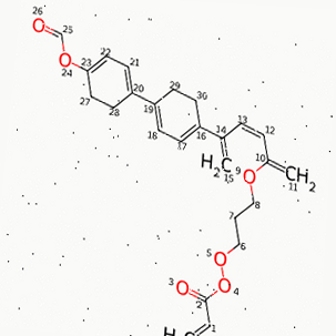 C=CC(=O)OOCCCOC(=C)/C=C\C(=C)C1=CC=C(C2=CC=C(OC=O)CC2)CC1